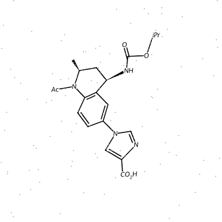 CC(=O)N1c2ccc(-n3cnc(C(=O)O)c3)cc2[C@H](NC(=O)OC(C)C)C[C@@H]1C